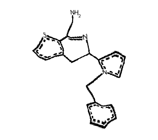 NC1=NC(c2cccn2Cc2ccccc2)Cc2ccsc21